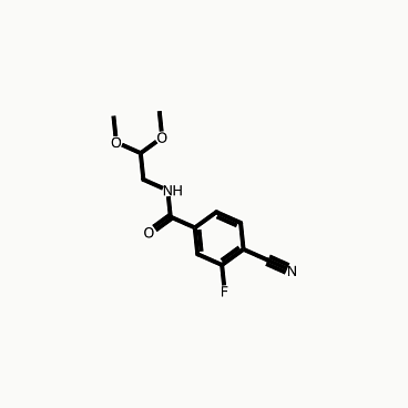 COC(CNC(=O)c1ccc(C#N)c(F)c1)OC